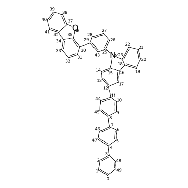 c1ccc(-c2ccc(-c3ccc(-c4ccc5c(c4)c4ccccc4n5-c4cccc(-c5cccc6c5oc5ccccc56)c4)cc3)cc2)cc1